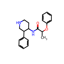 CC(Oc1ccccc1)C(=O)NC1CCNCC1c1ccccc1